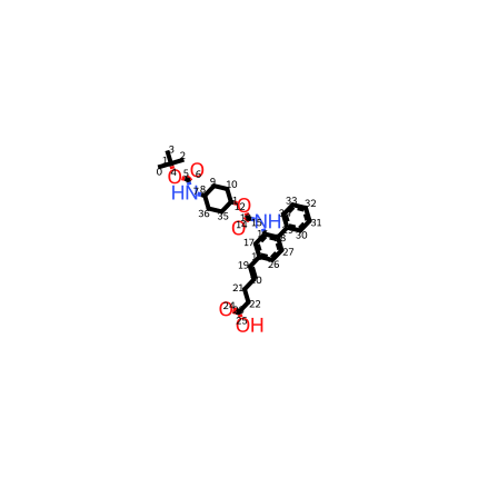 CC(C)(C)OC(=O)NC1CCC(OC(=O)Nc2cc(/C=C/CCC(=O)O)ccc2-c2ccccc2)CC1